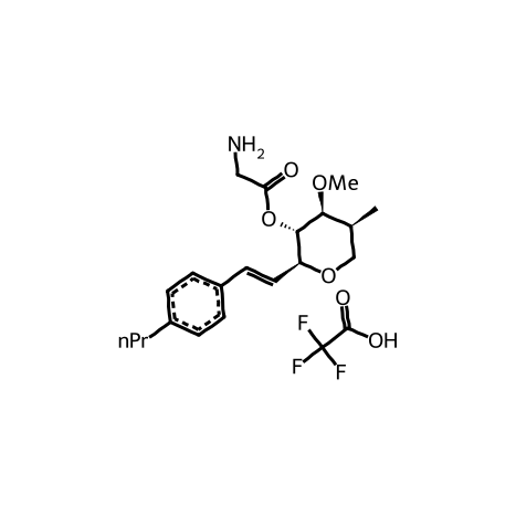 CCCc1ccc(C=C[C@@H]2OC[C@H](C)[C@H](OC)[C@H]2OC(=O)CN)cc1.O=C(O)C(F)(F)F